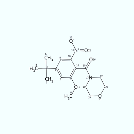 COc1cc(C(C)(C)C)cc([N+](=O)[O-])c1C(=O)N1CCOCC1